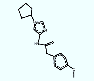 COc1ccc(CC(=O)Nc2cn(C3CCCC3)cn2)cc1